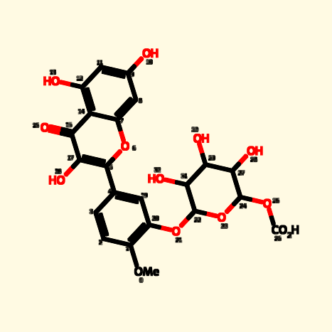 COc1ccc(-c2oc3cc(O)cc(O)c3c(=O)c2O)cc1OC1OC(OC(=O)O)C(O)C(O)C1O